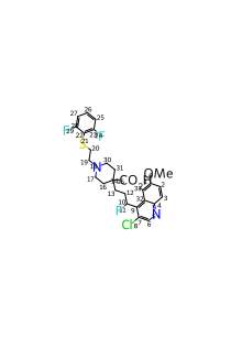 COc1ccc2ncc(Cl)c(C(F)CCC3(C(=O)O)CCN(CCSc4c(F)cccc4F)CC3)c2c1